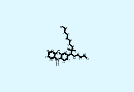 CCCCCCCCC(C)(C)C(CCCCC)c1ccc2c(c1)Sc1ccccc1N2